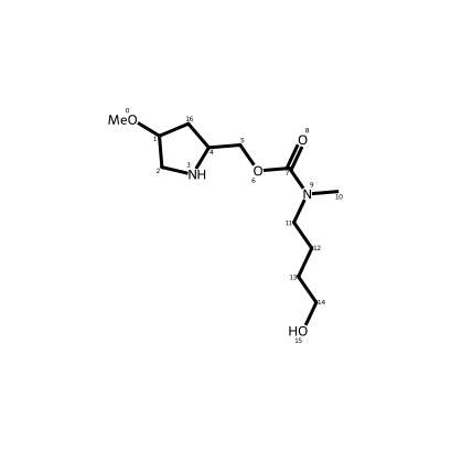 COC1CNC(COC(=O)N(C)CCCCO)C1